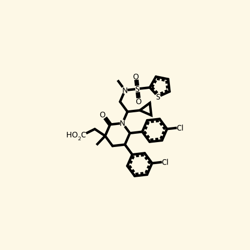 CN(CC(C1CC1)N1C(=O)C(C)(CC(=O)O)CC(c2cccc(Cl)c2)C1c1ccc(Cl)cc1)S(=O)(=O)c1cccs1